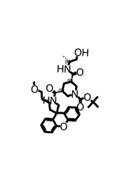 COCCCCC1(CNC(=O)[C@H]2C[C@@H](C(=O)N[C@H](C)CO)CN(C(=O)OC(C)(C)C)C2)c2ccccc2Oc2ccccc21